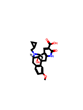 COc1ccc2c(c1)[C@]13CCN(CC4CC4)[C@H](C2)[C@]1(O)Cc1cc(C(=O)O)c(=O)[nH]c1C3